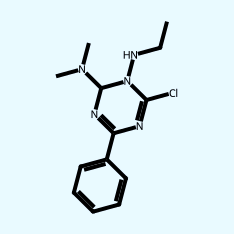 CCNN1C(Cl)=NC(c2ccccc2)=NC1N(C)C